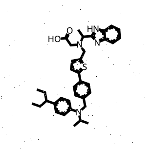 CCC(CC)c1ccc(N(Cc2ccc(-c3ccc(CN(CC(=O)O)C(C)c4nc5ccccc5[nH]4)s3)cc2)C(C)C)cc1